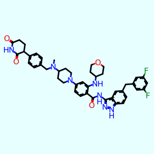 CN(Cc1ccc(C2CCC(=O)NC2=O)cc1)C1CCN(c2ccc(C(=O)Nc3n[nH]c4ccc(Cc5cc(F)cc(F)c5)cc34)c(NC3CCOCC3)c2)CC1